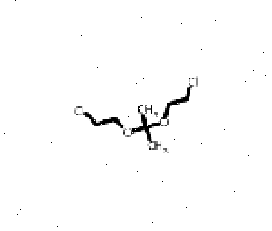 CC(C)(OCCCl)OCCCl